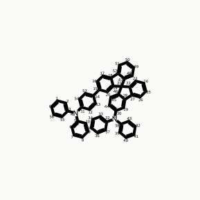 c1ccc(N(c2ccccc2)c2ccc(-c3ccc4c(c3)C3(c5ccccc5-c5cc(N(c6ccccc6)c6ccccc6)ccc53)c3ccccc3-4)cc2)cc1